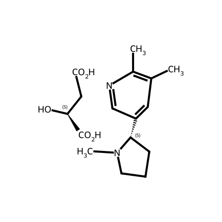 Cc1cc([C@@H]2CCCN2C)cnc1C.O=C(O)C[C@H](O)C(=O)O